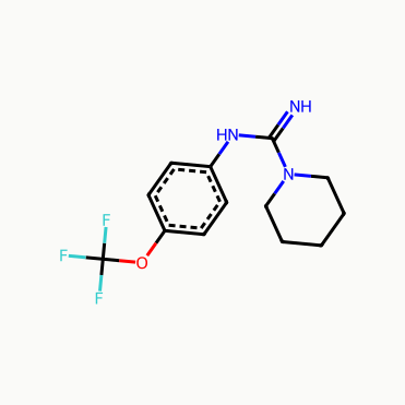 N=C(Nc1ccc(OC(F)(F)F)cc1)N1CCCCC1